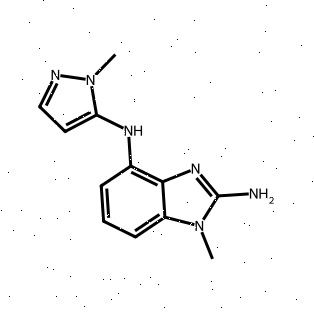 Cn1nccc1Nc1cccc2c1nc(N)n2C